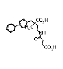 CC(CCNC(=O)CCC(=O)O)(Cc1ccc(-c2ccccc2)cc1)C(=O)O